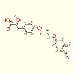 CO[C@@H](Cc1ccc(OCCCOc2ccc(C#N)c(F)c2)cc1)C(=O)O